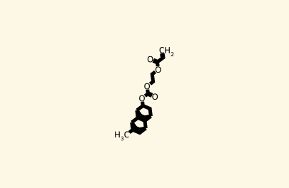 C=CC(=O)OCCOC(=O)OC1CC2CCC1C1C3CCC(CC3C)C21